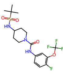 CC(C)(C)S(=O)(=O)NC1CCN(C(=O)Nc2ccc(F)c(OC(F)(F)F)c2)CC1